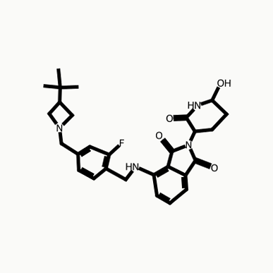 CC(C)(C)C1CN(Cc2ccc(CNc3cccc4c3C(=O)N(C3CCC(O)NC3=O)C4=O)c(F)c2)C1